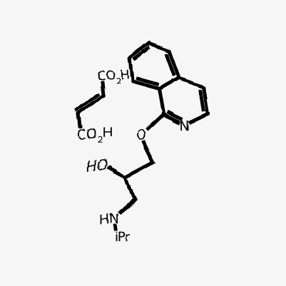 CC(C)NCC(O)COc1nccc2ccccc12.O=C(O)C=CC(=O)O